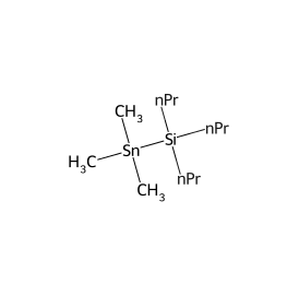 CCC[Si](CCC)(CCC)[Sn]([CH3])([CH3])[CH3]